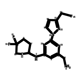 NCc1cc(NC2CCC(F)(F)CC2)nc(-n2ccc(CF)n2)n1